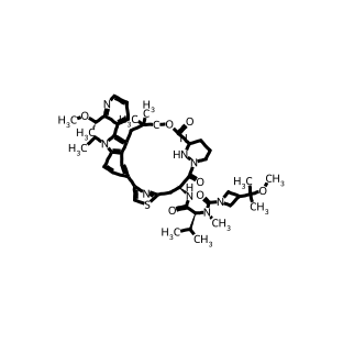 CCn1c(-c2cccnc2[C@H](C)OC)c2c3cc(ccc31)-c1csc(n1)C[C@H](NC(=O)[C@H](C(C)C)N(C)C(=O)N1CC(C(C)(C)OC)C1)C(=O)N1CCC[C@H](N1)C(=O)OCC(C)(C)C2